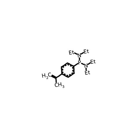 C=C(C)c1ccc(P(N(CC)CC)N(CC)CC)cc1